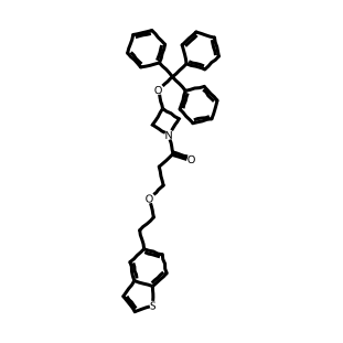 O=C(CCOCCc1ccc2sccc2c1)N1CC(OC(c2ccccc2)(c2ccccc2)c2ccccc2)C1